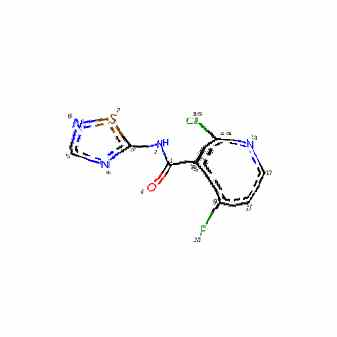 O=C(Nc1ncns1)c1c(F)ccnc1Cl